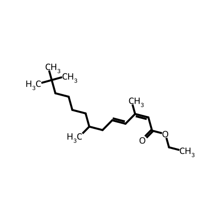 CCOC(=O)C=C(C)C=CCC(C)CCCCC(C)(C)C